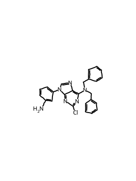 Nc1cccc(-n2cnc3c(N(Cc4ccccc4)Cc4ccccc4)nc(Cl)nc32)c1